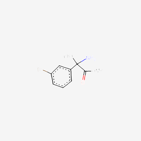 CCCCC(N)(C(=O)OC)c1cccc(Br)c1